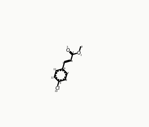 COC(=O)/C=C/c1ccc(Cl)cc1